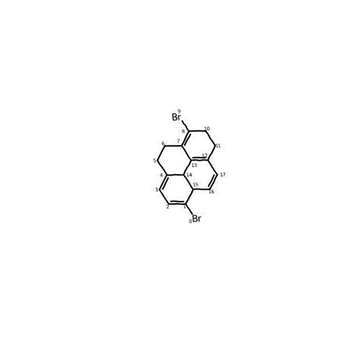 BrC1=CC=C2CCC3=C(Br)CCC4=C3C2C1C=C4